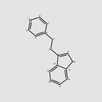 C1=C(CCc2ccncc2)c2ccccc2C1